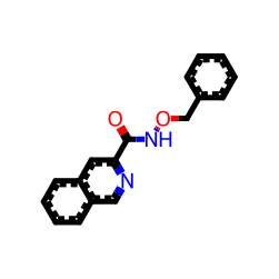 O=C(NOCc1ccccc1)c1cc2ccccc2cn1